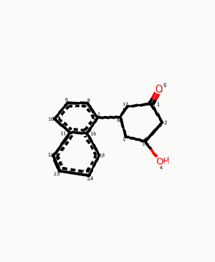 O=C1CC(O)CC(c2cccc3ccccc23)C1